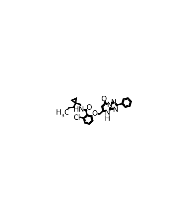 CCCC1(CNC(=O)c2c(Cl)cccc2OCc2cc(=O)n3nc(-c4ccccc4)nc3[nH]2)CC1